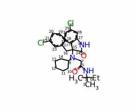 CCC(C)(C)NC(=O)CN(C1CCCCC1)C1(Cc2cccc(Cl)c2)C(=O)Nc2cc(Cl)ccc21